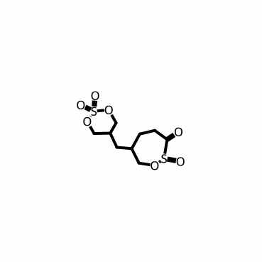 O=C1CCC(CC2COS(=O)(=O)OC2)COS1=O